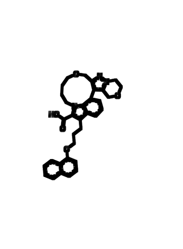 O=C(O)c1c(CCCOc2cccc3ccccc23)c2cccc3c2n1CCCCOCc1nn2c(c1-3)COCC2